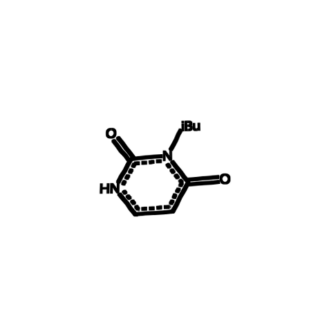 CCC(C)n1c(=O)cc[nH]c1=O